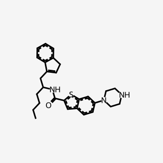 CCCCC(CC1=CCc2ccccc21)NC(=O)c1cc2ccc(N3CCNCC3)cc2s1